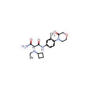 CC(C)CN(C1CCC1)[C@H](C(N)=O)C(=O)Nc1ccc(N2CCOCC2=O)c(C(F)(F)F)c1